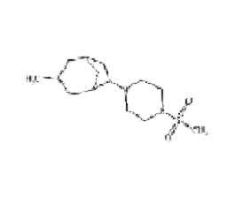 CC1CC2CC(C1)C(N1CCN(S(C)(=O)=O)CC1)C2